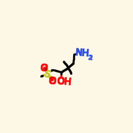 CC(C)(CCN)C(O)CS(C)(=O)=O